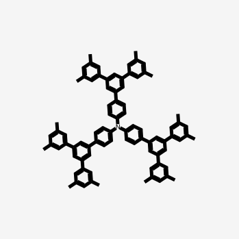 Cc1cc(C)cc(-c2cc(-c3ccc(N(c4ccc(-c5cc(-c6cc(C)cc(C)c6)cc(-c6cc(C)cc(C)c6)c5)cc4)c4ccc(-c5cc(-c6cc(C)cc(C)c6)cc(-c6cc(C)cc(C)c6)c5)cc4)cc3)cc(-c3cc(C)cc(C)c3)c2)c1